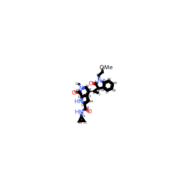 COCCN1C(=O)[C@@]2(C[C@H]2c2cn(C)c(=O)c3[nH]c(C(=O)NC4CC4)cc23)c2ccccc21